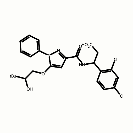 CC(C)(C)C(O)COc1cc(C(=O)NC(CC(=O)O)c2ccc(Cl)cc2Cl)nn1-c1ccccc1